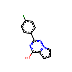 Oc1nc(-c2ccc(F)cc2)nn2cccc12